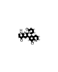 O=c1cc[nH]c2nc(-n3ccccc3=O)c(-c3cc(Cl)c4ncccc4c3)cc12